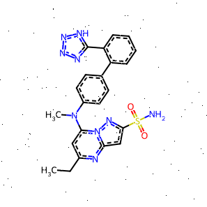 CCc1cc(N(C)c2ccc(-c3ccccc3-c3nnn[nH]3)cc2)n2nc(S(N)(=O)=O)cc2n1